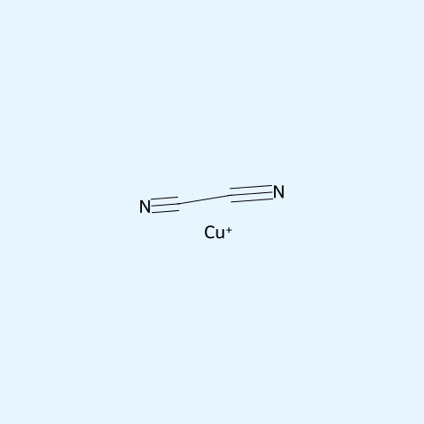 N#CC#N.[Cu+]